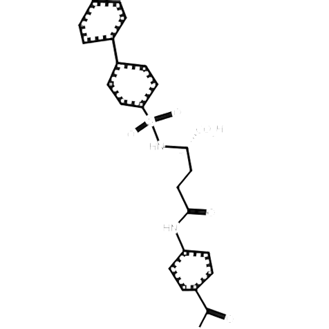 COC(=O)c1ccc(NC(=O)CC[C@H](NS(=O)(=O)c2ccc(-c3ccccc3)cc2)C(=O)O)cc1